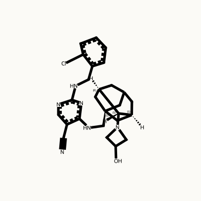 N#Cc1cnc(NCc2ccccc2Cl)nc1NC[C@]12CC3C[C@H](C1)[C@@H](N1CC(O)C1)[C@@H](C3)C2